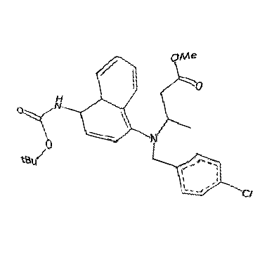 COC(=O)CC(C)N(Cc1ccc(Cl)cc1)C1=C2C=CC=CC2C(NC(=O)OC(C)(C)C)C=C1